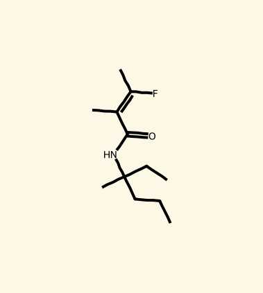 CCCC(C)(CC)NC(=O)/C(C)=C(/C)F